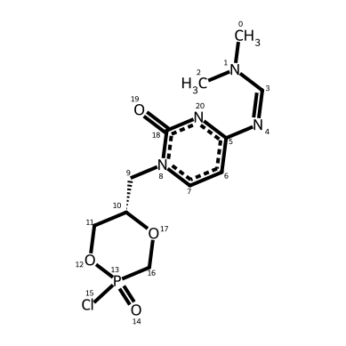 CN(C)/C=N\c1ccn(C[C@H]2COP(=O)(Cl)CO2)c(=O)n1